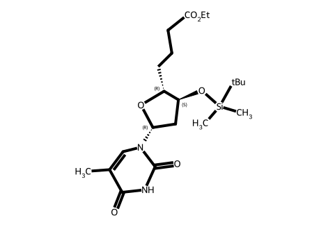 CCOC(=O)CCC[C@H]1O[C@@H](n2cc(C)c(=O)[nH]c2=O)C[C@@H]1O[Si](C)(C)C(C)(C)C